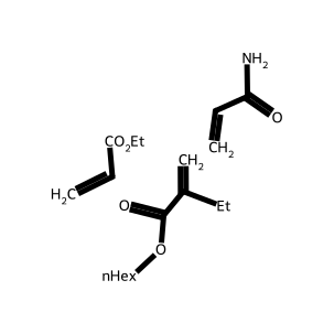 C=C(CC)C(=O)OCCCCCC.C=CC(=O)OCC.C=CC(N)=O